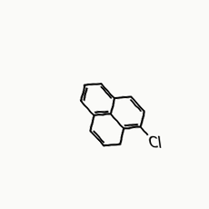 Clc1ccc2cccc3c2c1CC=C3